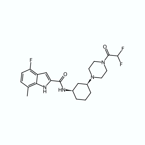 Cc1ccc(F)c2cc(C(=O)N[C@@H]3CCC[C@H](N4CCN(C(=O)C(F)F)CC4)C3)[nH]c12